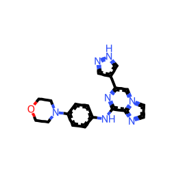 c1cn2cc(-c3cn[nH]c3)nc(Nc3ccc(N4CCOCC4)cc3)c2n1